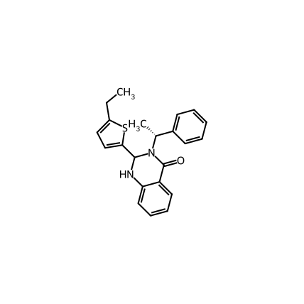 CCc1ccc(C2Nc3ccccc3C(=O)N2[C@H](C)c2ccccc2)s1